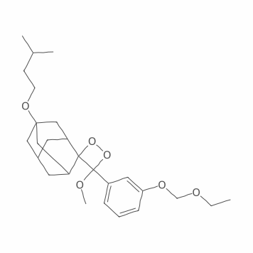 CCOCOc1cccc(C2(OC)OOC23C2CC4CC3CC(OCCC(C)C)(C4)C2)c1